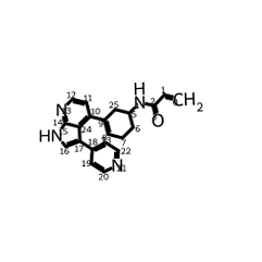 C=CC(=O)NC1CCC=C(c2ccnc3[nH]cc(-c4ccncc4)c23)C1